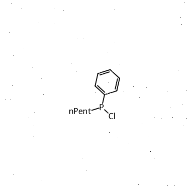 CCCCCP(Cl)c1ccccc1